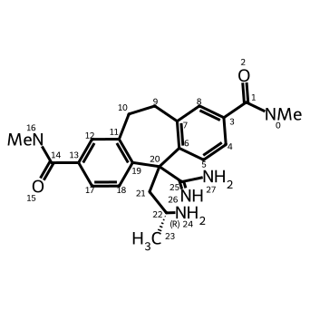 CNC(=O)c1ccc2c(c1)CCc1cc(C(=O)NC)ccc1C2(C[C@@H](C)N)C(=N)N